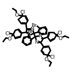 CCOC1(Cl)C=CC(C2=NC(c3ccccc3Br)(C3(c4ccccc4Br)N=C(C4=CCC(Cl)(OCC)C=C4)C(C4=CCC(Cl)(OCC)C=C4)=N3)N=C2C2=CCC(Cl)(OCC)C=C2)=CC1